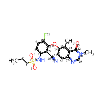 CCCS(=O)(=O)Nc1ccc(F)c(Oc2ccc3ncn(C)c(=O)c3c2C)c1C#N